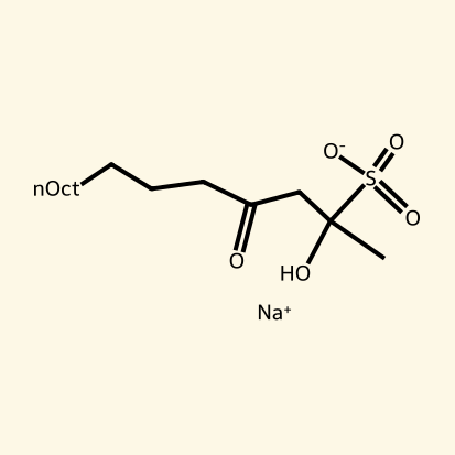 CCCCCCCCCCCC(=O)CC(C)(O)S(=O)(=O)[O-].[Na+]